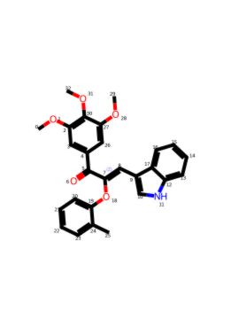 COc1cc(C(=O)/C(=C/c2c[nH]c3ccccc23)Oc2ccccc2C)cc(OC)c1OC